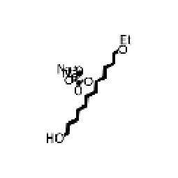 CCOCCCCCCCCCCCCO.O=S(=O)([O-])[O-].[Na+].[Na+]